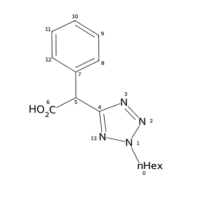 CCCCCCn1nnc(C(C(=O)O)c2ccccc2)n1